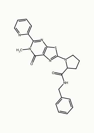 Cn1c(-c2ccccn2)nc2sc(N3CCCC3C(=O)NCc3ccccc3)nc2c1=O